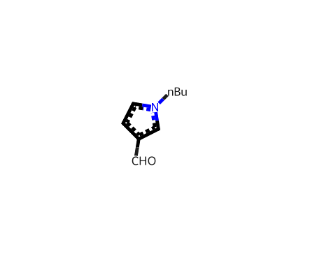 CCCCn1ccc(C=O)c1